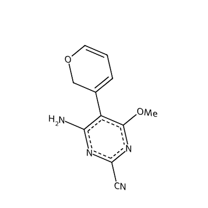 COc1nc(C#N)nc(N)c1C1=CC=COC1